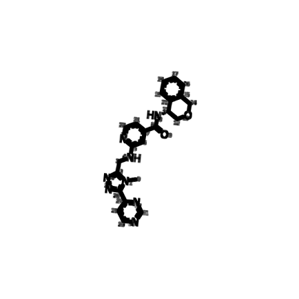 Cn1c(CNc2cc(C(=O)N[C@H]3COCc4ccccc43)ccn2)nnc1-c1ccncn1